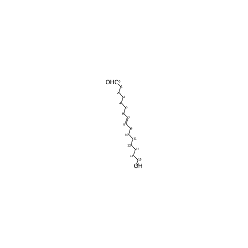 O=CCCCCCC/C=C/CCCCCCCO